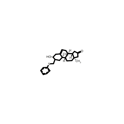 C[C@]12CC[C@H]3[C@@H](CC=C4C[C@@H](O)C(CSc5ccccc5)C[C@@]43C)[C@@H]1CC(=O)C2